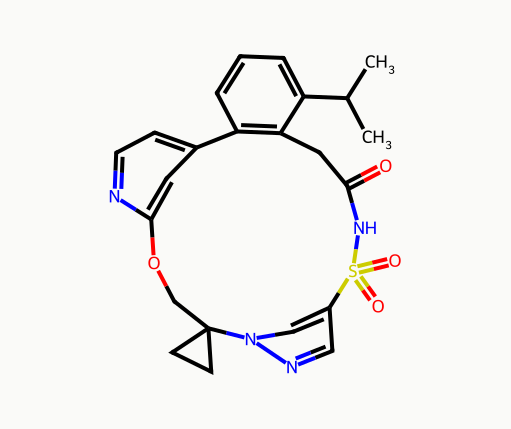 CC(C)c1cccc2c1CC(=O)NS(=O)(=O)c1cnn(c1)C1(CC1)COc1cc-2ccn1